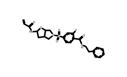 C=CC(=O)NC1CC2CN(S(=O)(=O)c3ccc(C(=O)NCCc4ccccc4)c(F)c3)CC2S1